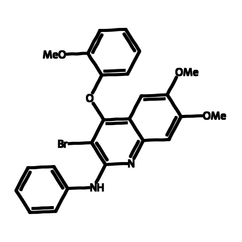 COc1cc2nc(Nc3ccccc3)c(Br)c(Oc3ccccc3OC)c2cc1OC